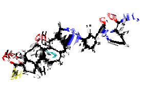 C[C@]12Cc3cnn(-c4cccc(C(=O)N5CCC[C@@H]5C(N)=O)c4)c3C=C1CC[C@H]1[C@@H]3CC[C@](O)(C(=O)S)[C@@]3(C)C[C@H](O)[C@@]12F